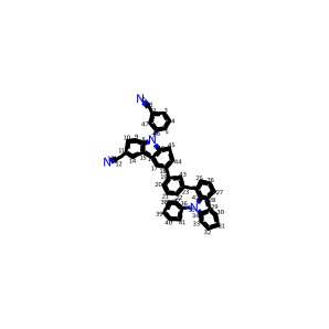 N#Cc1cccc(-n2c3ccc(C#N)cc3c3cc(-c4cccc(-c5cccc6c7ccccc7n(-c7ccccc7)c56)c4)ccc32)c1